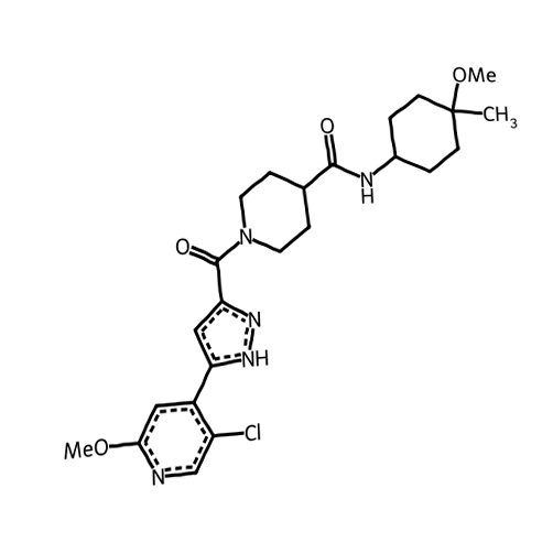 COc1cc(-c2cc(C(=O)N3CCC(C(=O)NC4CCC(C)(OC)CC4)CC3)n[nH]2)c(Cl)cn1